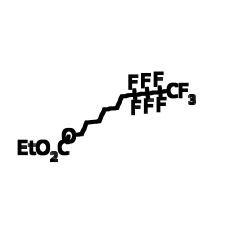 CCOC(=O)OCCCCCCC(F)(F)C(F)(F)C(F)(F)C(F)(F)F